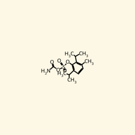 Cc1ccc(C(C)C)c(OS(=O)(=O)OC(N)=O)c1C(C)C